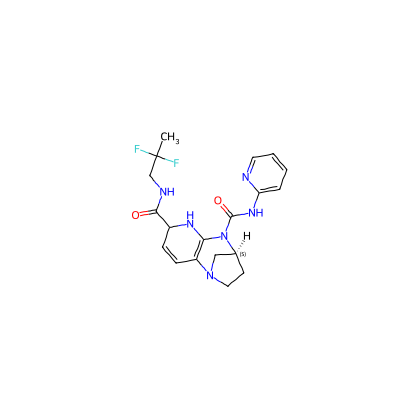 CC(F)(F)CNC(=O)C1C=CC2=C(N1)N(C(=O)Nc1ccccn1)[C@H]1CCN2C1